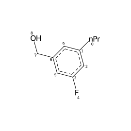 CCCc1cc(F)cc([CH]O)c1